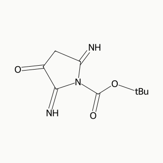 CC(C)(C)OC(=O)N1C(=N)CC(=O)C1=N